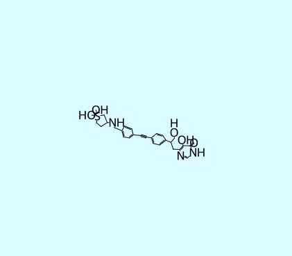 O=c1[nH]cnc(CC(CO)c2ccc(C#Cc3ccc(CNC4CCS(O)(O)C4)cc3)cc2)c1O